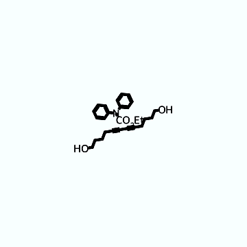 CCOC(=O)N(c1ccccc1)c1ccccc1.OCCCCC#CC#CCCCCO